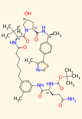 Cc1cc(CCCCCC(=O)N[C@H](C(=O)N2C[C@H](O)C[C@H]2C(=O)N[C@@H](C)c2ccc(-c3scnc3C)cc2)C(C)(C)C)cc(NC(=O)[C@H](CCC(N)=O)NC(=O)OC(C)(C)C)c1